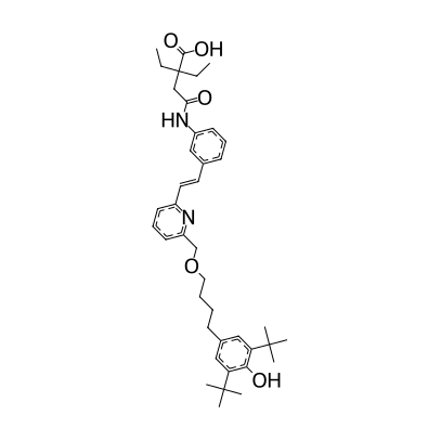 CCC(CC)(CC(=O)Nc1cccc(C=Cc2cccc(COCCCCc3cc(C(C)(C)C)c(O)c(C(C)(C)C)c3)n2)c1)C(=O)O